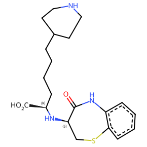 O=C(O)[C@@H](CCCCC1CCNCC1)N[C@@H]1CSc2ccccc2NC1=O